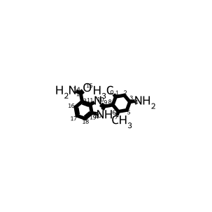 CC1CC(N)CC(C)C1c1nc2c(C(N)=O)cccc2[nH]1